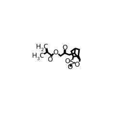 C=C(C)C(=O)OCC(=O)CC1C2CC3C1OS(=O)(=O)C3C2